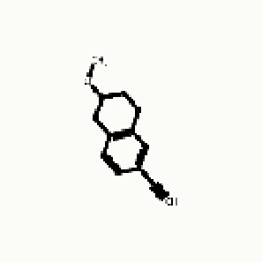 C#Cc1ccc2c(c1)CCC(OC)C2